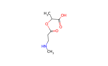 CNCCC(=O)OC(C)C(=O)O